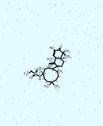 CC(=O)/C=C1/[C@@]2(C)C=C(C#N)C(=O)C(C)(C)[C@@H]2CC[C@@]1(C)[C@@]1(C)CCCC(C)(C)CC[C@](C)(NS(=O)(=O)CC(F)(F)F)CC1